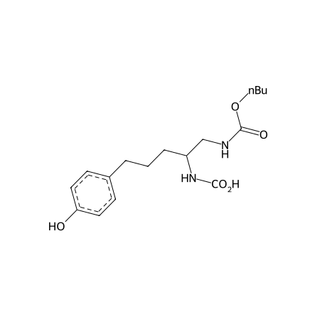 CCCCOC(=O)NCC(CCCc1ccc(O)cc1)NC(=O)O